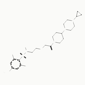 COc1cc(C)c(S(=O)(=O)N(C)CCOCC(=O)N2CCC(N3CCN(C4CC4)CC3)CC2)c(C)c1